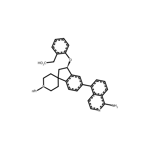 CCCN1CCC2(CC1)C[C@@H](Oc1ccccc1CC(=O)O)c1cc(-c3cccc4c(N)nccc34)ccc12